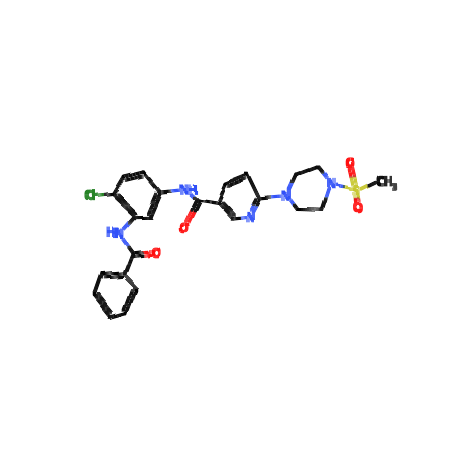 CS(=O)(=O)N1CCN(c2ccc(C(=O)Nc3ccc(Cl)c(NC(=O)c4ccccc4)c3)cn2)CC1